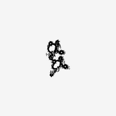 O=C(NC[C@@H]1CCCO1)[C@@H]1CCCCOc2cc(cc(C3CCC(NC(=O)[C@@H]4CCCCOc5cccc(c5)C[C@H](N5CCCC5=O)C(=O)N[C@@H](CCc5ccc(F)cc5)C(=O)N4)C3)c2)C[C@H](N2CCCC2=O)C(=O)N[C@@H](CCc2ccc(F)cc2)CN1